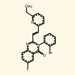 CC(=O)OCc1cccc(C=Cc2nc3ccc(F)cc3c(=O)n2-c2ccccc2Br)n1